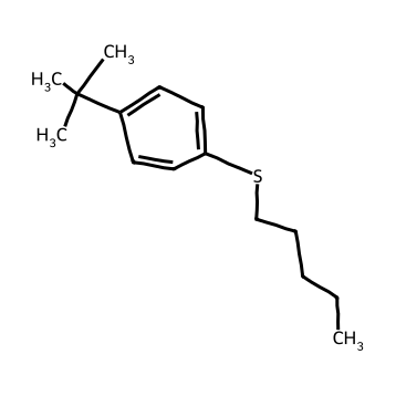 CCCCCSc1ccc(C(C)(C)C)cc1